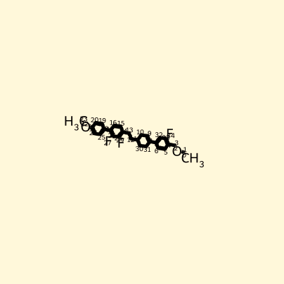 CCOCc1ccc(C2=CCC(CCc3ccc(-c4ccc(OC)cc4)c(F)c3F)CC2)cc1F